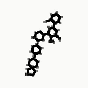 Nn1c(N2CCN[C@@H](c3ccc(N4CCC5(CCNC5)CC4)cc3)C2)nc(-c2ccncc2F)cc1=O